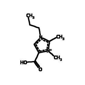 CCCn1cc(C(=O)O)[n+](C)c1C